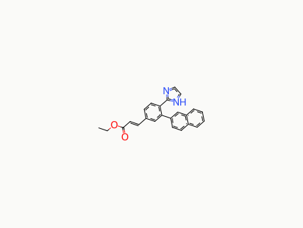 CCOC(=O)C=Cc1ccc(-c2ncc[nH]2)c(-c2ccc3ccccc3c2)c1